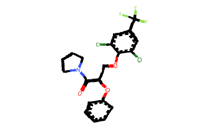 O=C(C(COc1c(Cl)cc(C(F)(F)F)cc1Cl)Oc1ccccc1)N1CCCC1